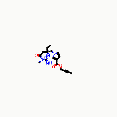 CC#CCOC(=O)c1ccn(C[C@]2(CC)CC(=O)N(C)C(=N)N2)c1